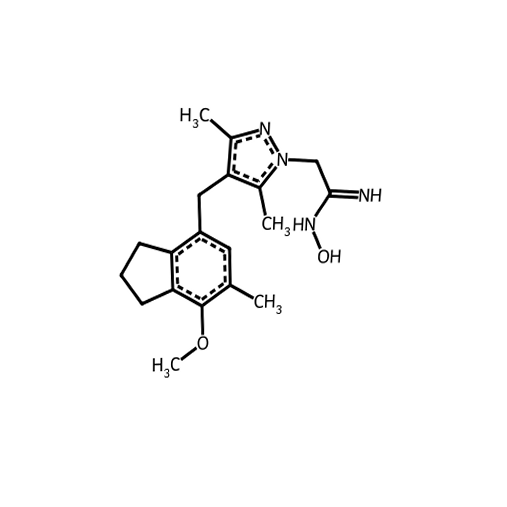 COc1c(C)cc(Cc2c(C)nn(CC(=N)NO)c2C)c2c1CCC2